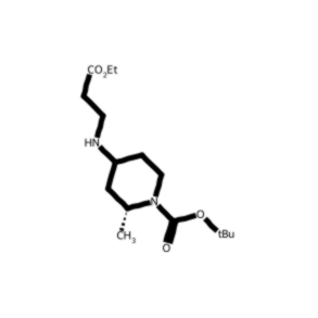 CCOC(=O)CCNC1CCN(C(=O)OC(C)(C)C)[C@H](C)C1